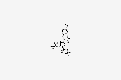 COC(=O)C[C@H]1N(C(=O)OC(C)(C)C)C[C@@H](N(Cc2ccc(OC)cc2)S(C)(=O)=O)C1(F)F